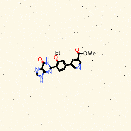 CCOc1cc(-c2cncc(C(=O)OC)c2)ccc1-c1nc2[nH]cnc2c(=O)[nH]1